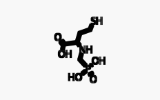 O=C(O)C(CCS)NCP(=O)(O)O